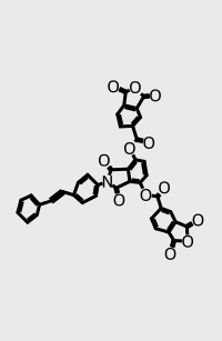 O=C(Oc1ccc(OC(=O)c2ccc3c(c2)C(=O)OC3=O)c2c1C(=O)N(c1ccc(C#Cc3ccccc3)cc1)C2=O)c1ccc2c(c1)C(=O)OC2=O